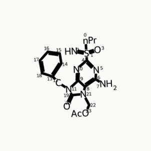 CCCS(=N)(=O)c1nc(N)c2c(n1)n(Cc1ccccc1)c(=O)n2COC(C)=O